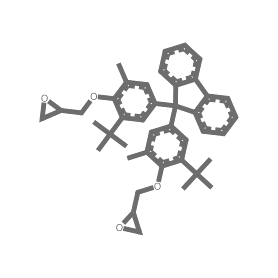 Cc1cc(C2(c3cc(C)c(OCC4CO4)c(C(C)(C)C)c3)c3ccccc3-c3ccccc32)cc(C(C)(C)C)c1OCC1CO1